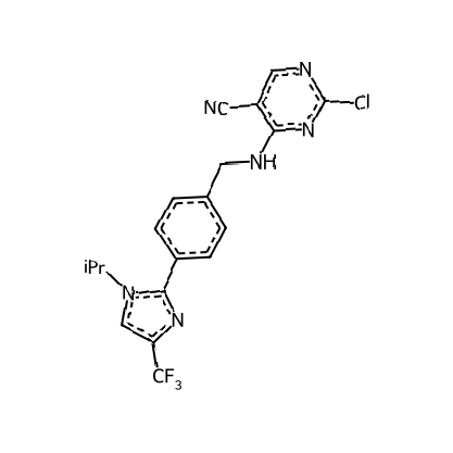 CC(C)n1cc(C(F)(F)F)nc1-c1ccc(CNc2nc(Cl)ncc2C#N)cc1